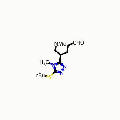 CCCCSc1nnc(C(CCC=O)CNC)n1C